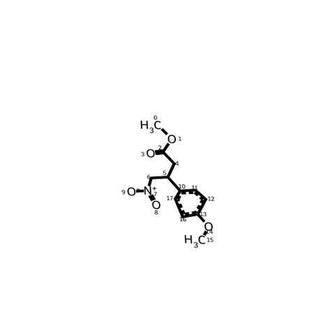 COC(=O)CC(C[N+](=O)[O-])c1ccc(OC)cc1